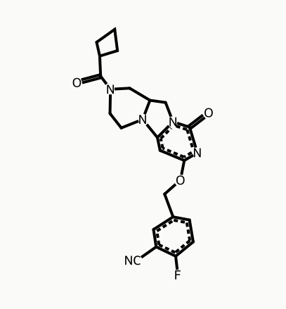 N#Cc1cc(COc2cc3n(c(=O)n2)CC2CN(C(=O)C4CCC4)CCN32)ccc1F